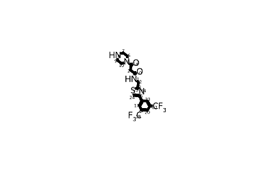 O=C(CC(=O)N1CCNCC1)NCc1nc(-c2cc(C(F)(F)F)cc(C(F)(F)F)c2)cs1